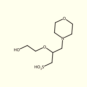 O=S(=O)(O)CC(CN1CCOCC1)OCCO